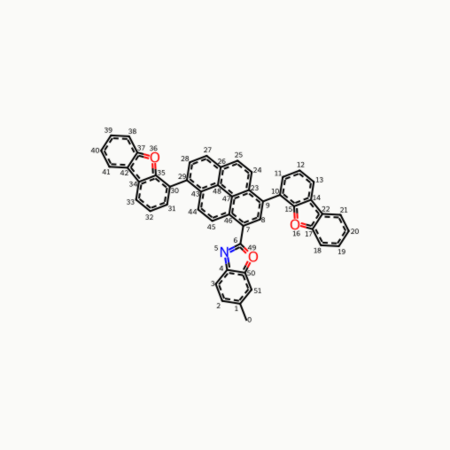 Cc1ccc2nc(-c3cc(-c4cccc5c4oc4ccccc45)c4ccc5ccc(-c6cccc7c6oc6ccccc67)c6ccc3c4c56)oc2c1